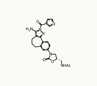 CC(=O)NC[C@H]1CN(c2ccc3c(c2)CCCc2c-3nn(C(=O)c3ccoc3)c2N)C(=O)O1